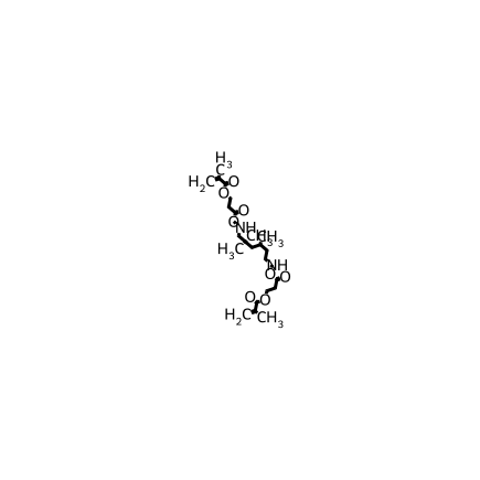 C=C(C)C(=O)OCCC(=O)ONCCC(C)CC(C)(C)CNOC(=O)CCOC(=O)C(=C)C